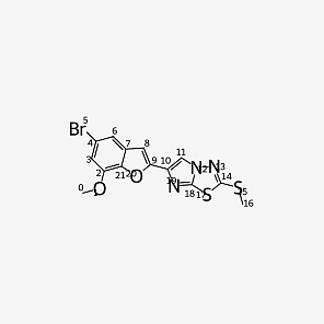 COc1cc(Br)cc2cc(-c3cn4nc(SC)sc4n3)oc12